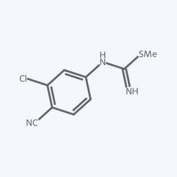 CSC(=N)Nc1ccc(C#N)c(Cl)c1